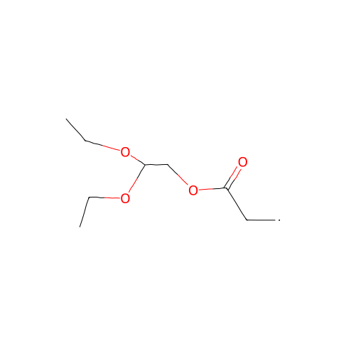 [CH2]CC(=O)OCC(OCC)OCC